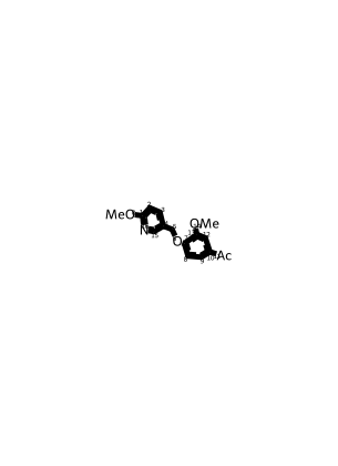 COc1ccc(COc2ccc(C(C)=O)cc2OC)cn1